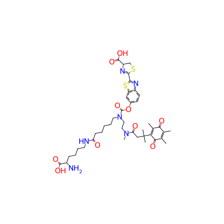 CC1=C(C)C(=O)C(C(C)(C)CC(=O)N(C)CCN(CCCCCC(=O)NCCCCC(N)C(=O)O)C(=O)Oc2ccc3nc(C4=NC(C(=O)O)CS4)sc3c2)=C(C)C1=O